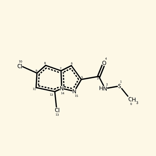 CSNC(=O)c1cc2cc(Cl)cc(Cl)n2n1